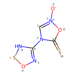 [O-][n+]1[c]n(C2=NOSN2)c(=S)o1